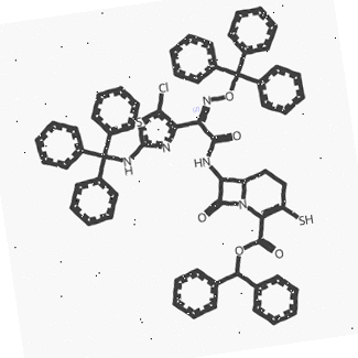 O=C(OC(c1ccccc1)c1ccccc1)C1=C(S)CCC2C(NC(=O)/C(=N\OC(c3ccccc3)(c3ccccc3)c3ccccc3)c3nc(NC(c4ccccc4)(c4ccccc4)c4ccccc4)sc3Cl)C(=O)N12